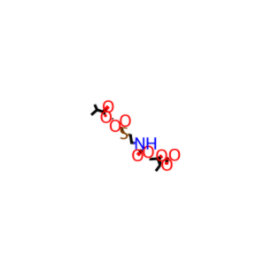 Cc1oc(=O)oc1COC(=O)NCCSC(=O)OCOC(=O)C(C)C